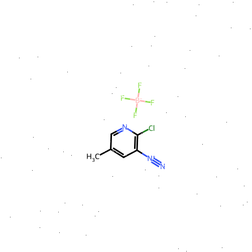 Cc1cnc(Cl)c([N+]#N)c1.F[B-](F)(F)F